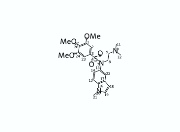 COc1cc(S(=O)(=O)N(CCN(C)C)c2ccc3c(ccn3C)c2)cc(OC)c1OC